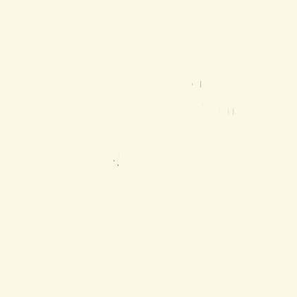 OB(O)c1ccc(CNc2ccccc2)cc1